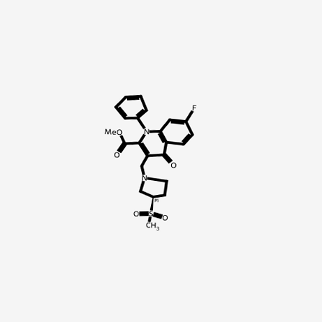 COC(=O)c1c(CN2CC[C@@H](S(C)(=O)=O)C2)c(=O)c2ccc(F)cc2n1-c1ccccc1